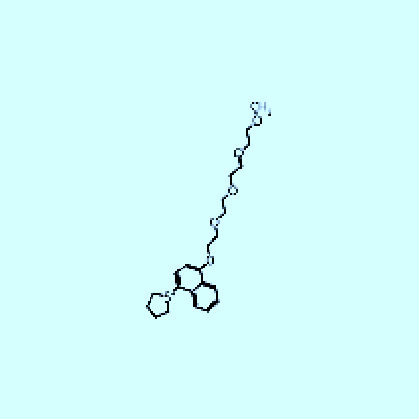 COCCOCCOCCOCCOc1ccc([S+]2CCCC2)c2ccccc12